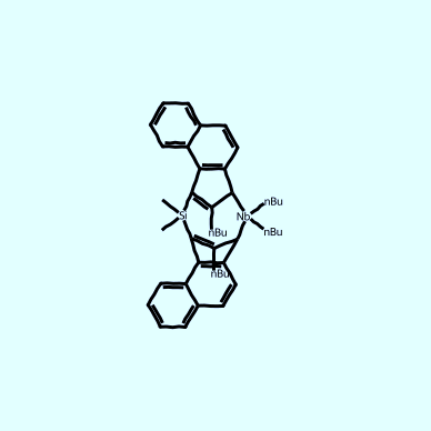 CCCCC1=C2c3c(ccc4ccccc34)[CH]1[Nb]([CH2]CCC)([CH2]CCC)[CH]1C(CCCC)=C(c3c1ccc1ccccc31)[Si]2(C)C